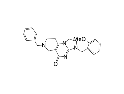 COc1ccccc1CN1CCn2c1nc(=O)c1c2CCN(Cc2ccccc2)C1